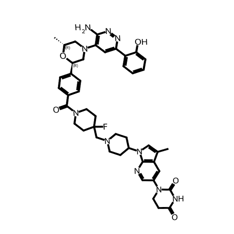 Cc1cn(C2CCN(CC3(F)CCN(C(=O)c4ccc([C@@H]5CN(c6cc(-c7ccccc7O)nnc6N)C[C@@H](C)O5)cc4)CC3)CC2)c2ncc(N3CCC(=O)NC3=O)cc12